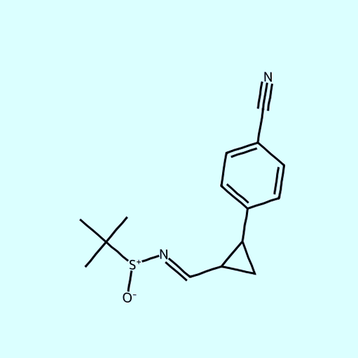 CC(C)(C)[S+]([O-])N=CC1CC1c1ccc(C#N)cc1